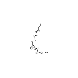 C=CC=CCC=CC[C@@H]1O[C@@H]1CCCCCCCCCC